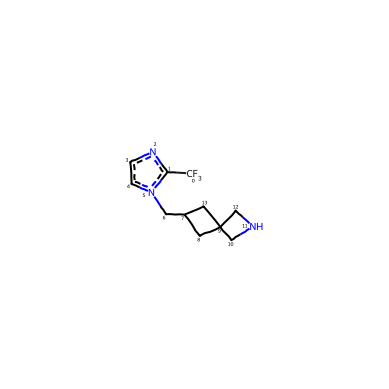 FC(F)(F)c1nccn1CC1CC2(CNC2)C1